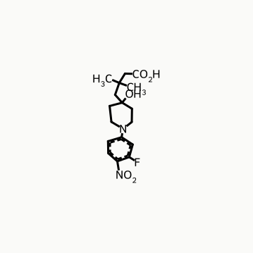 CC(C)(CC(=O)O)CC1(O)CCN(c2ccc([N+](=O)[O-])c(F)c2)CC1